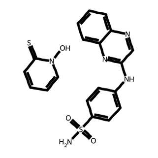 NS(=O)(=O)c1ccc(Nc2cnc3ccccc3n2)cc1.On1ccccc1=S